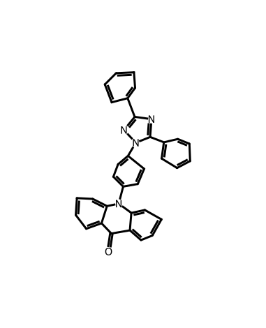 O=c1c2ccccc2n(-c2ccc(-n3nc(-c4ccccc4)nc3-c3ccccc3)cc2)c2ccccc12